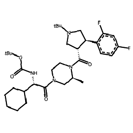 C[C@H]1CN(C(=O)[C@@H](NC(=O)OC(C)(C)C)C2CCCCC2)CCN1C(=O)[C@@H]1CN(C(C)(C)C)C[C@H]1c1ccc(F)cc1F